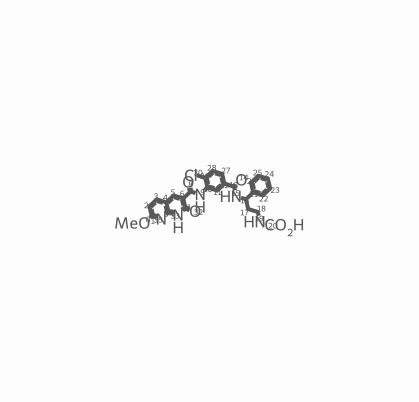 COc1ccc2cc(C(=O)Nc3cc(C(=O)NC(CCNC(=O)O)c4ccccc4)ccc3Cl)c(=O)[nH]c2n1